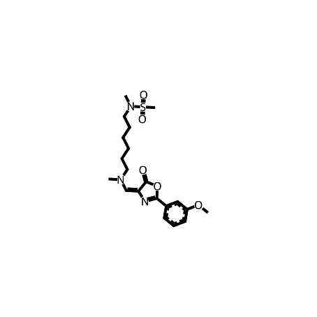 COc1cccc(C2=NC(=CN(C)CCCCCCN(C)S(C)(=O)=O)C(=O)O2)c1